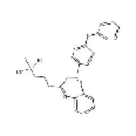 CC[N+](C)(CC)CCSC1=Nc2ccccc2N=C(c2ccc(Sc3ccccc3)cc2)C1.[I-]